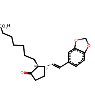 O=C(O)CCCCCC[C@@H]1C(=O)CC[C@H]1C=Cc1ccc2c(c1)OCO2